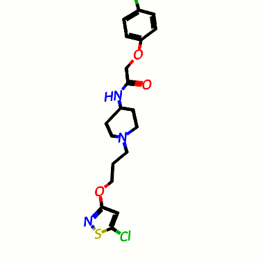 O=C(COc1ccc(Cl)cc1)NC1CCN(CCCOc2cc(Cl)sn2)CC1